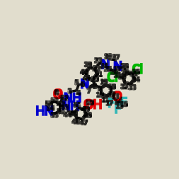 O=C(NCCCn1cc(-c2ccc(OC(F)(F)F)cc2)c2cc(CN3CCN(Cc4c(Cl)cccc4Cl)CC3)ccc21)C1(NCc2cccc(O)c2)CCNCC1